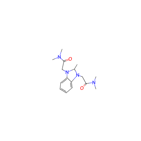 CC1N(CC(=O)N(C)C)c2ccccc2N1CC(=O)N(C)C